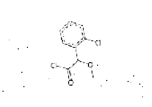 COC(C(=O)Cl)c1ccccc1Cl